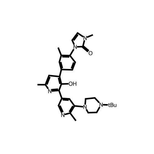 Cc1cc(-c2ccc(-n3ccn(C)c3=O)c(C)c2)c(O)c(-c2cnc(C)c(N3CCN(C(C)(C)C)CC3)c2)n1